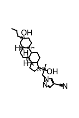 CCC[C@@]1(O)CC[C@]2(C)C3CCC4[C@@H](CC[C@@H]4[C@](C)(O)Cn4cc(C#N)cn4)[C@@H]3CC[C@@H]2C1